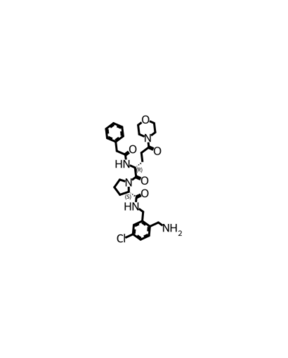 NCc1ccc(Cl)cc1CNC(=O)[C@@H]1CCCN1C(=O)[C@@H](CCC(=O)N1CCOCC1)NC(=O)Cc1ccccc1